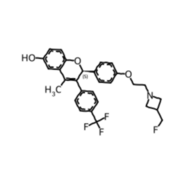 CC1=C(c2ccc(C(F)(F)F)cc2)[C@H](c2ccc(OCCN3CC(CF)C3)cc2)Oc2ccc(O)cc21